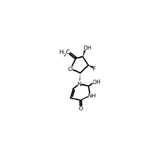 C=C1O[C@@H](N2C=CC(=O)NC2O)[C@H](F)[C@@H]1O